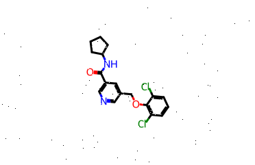 O=C(NC1CCCC1)c1cncc(COc2c(Cl)cccc2Cl)c1